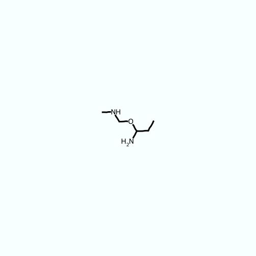 CCC(N)OCNC